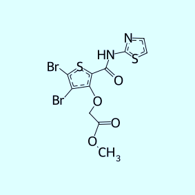 COC(=O)COc1c(C(=O)Nc2nccs2)sc(Br)c1Br